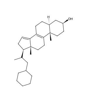 CC(CC1CCCCC1)[C@H]1CC=C2C3=C(CC[C@@]21C)[C@@]1(C)CC[C@H](O)C[C@@H]1CC3